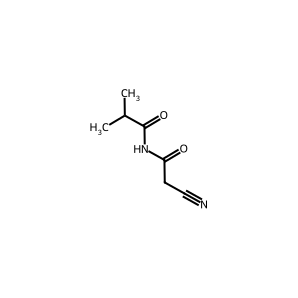 CC(C)C(=O)NC(=O)CC#N